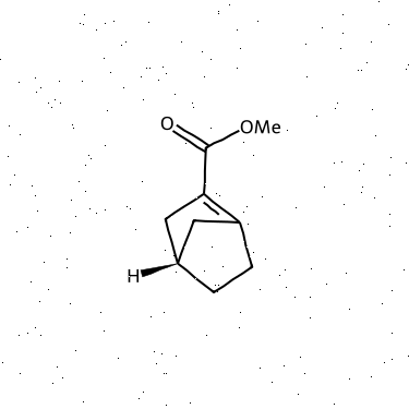 COC(=O)C1=C2CC[C@@H](C2)C1